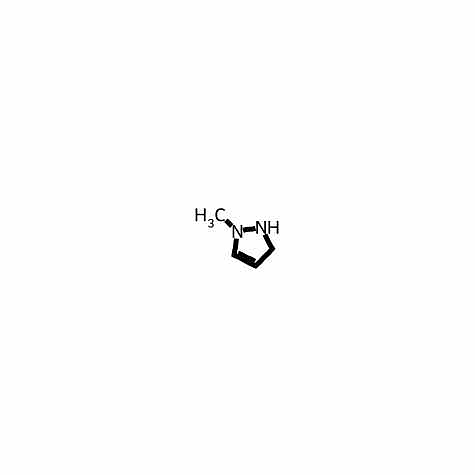 CN1C=CCN1